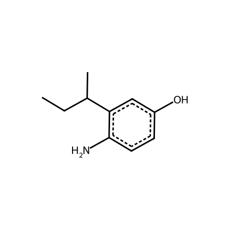 CCC(C)c1cc(O)ccc1N